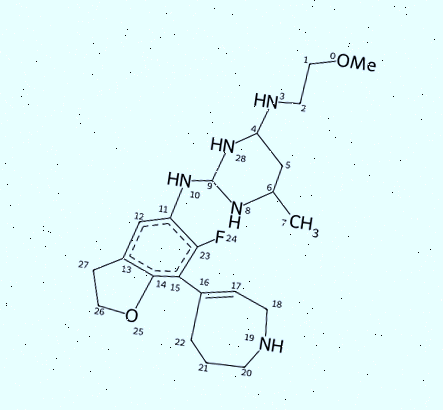 COCCNC1CC(C)NC(Nc2cc3c(c(C4=CCNCCC4)c2F)OCC3)N1